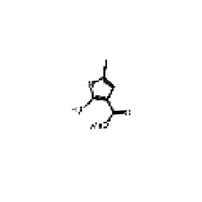 COC(=O)c1cc(I)[nH]c1C